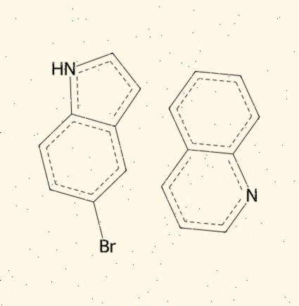 Brc1ccc2[nH]ccc2c1.c1ccc2ncccc2c1